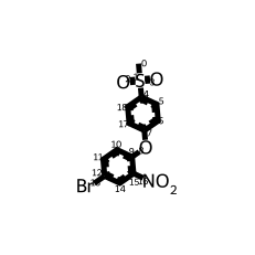 CS(=O)(=O)c1ccc(Oc2ccc(Br)cc2[N+](=O)[O-])cc1